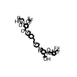 CC(C)(O)c1cc2nn(C3CCN(CCC4CCC5(CC4)CCN(C(=O)c4ccc(OC(F)(F)F)c(N6CCC(=O)NC6=O)c4)CC5)CC3)cc2cc1NC(=O)c1cccc(C(F)(F)F)n1